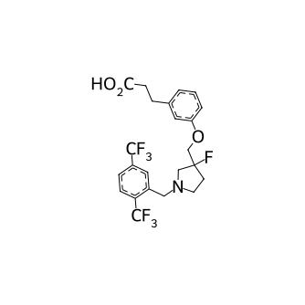 O=C(O)CCc1cccc(OCC2(F)CCN(Cc3cc(C(F)(F)F)ccc3C(F)(F)F)C2)c1